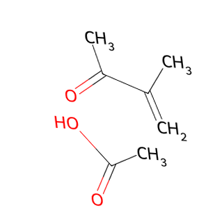 C=C(C)C(C)=O.CC(=O)O